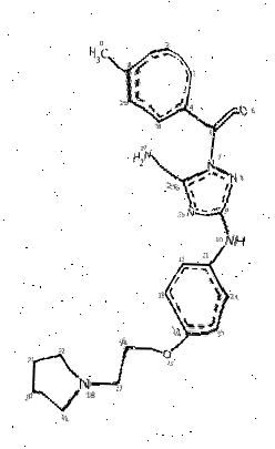 Cc1ccc(C(=O)n2nc(Nc3ccc(OCCN4CCCC4)cc3)nc2N)cc1